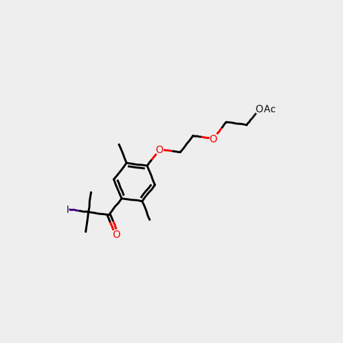 CC(=O)OCCOCCOc1cc(C)c(C(=O)C(C)(C)I)cc1C